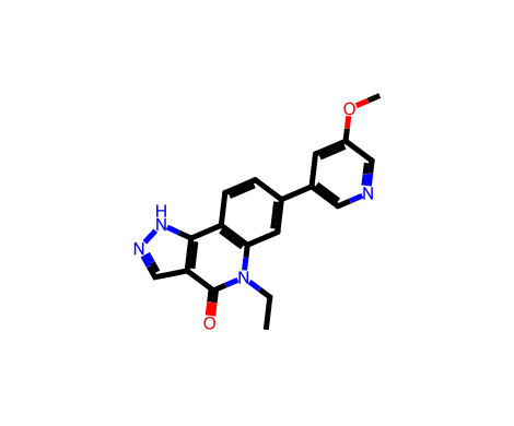 CCn1c(=O)c2cn[nH]c2c2ccc(-c3cncc(OC)c3)cc21